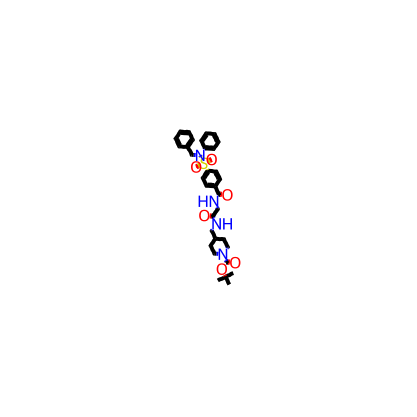 CC(C)(C)OC(=O)N1CCC(CNC(=O)CNC(=O)c2ccc(S(=O)(=O)N(Cc3ccccc3)c3ccccc3)cc2)CC1